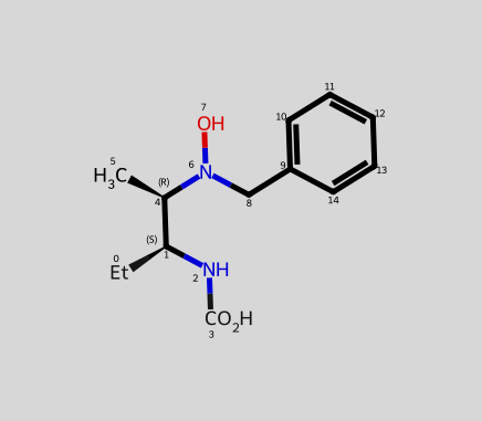 CC[C@H](NC(=O)O)[C@@H](C)N(O)Cc1ccccc1